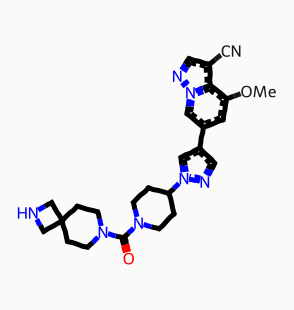 COc1cc(-c2cnn(C3CCN(C(=O)N4CCC5(CC4)CNC5)CC3)c2)cn2ncc(C#N)c12